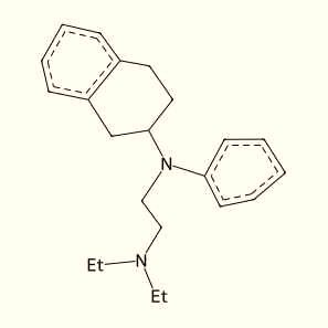 CCN(CC)CCN(c1ccccc1)C1CCc2ccccc2C1